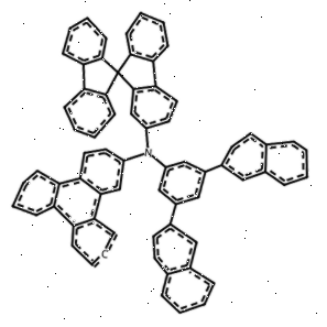 c1ccc2c(c1)-c1ccccc1C21c2ccccc2-c2ccc(N(c3cc(-c4ccc5ccccc5c4)cc(-c4ccc5ccccc5c4)c3)c3ccc4c5ccccc5c5ccccc5c4c3)cc21